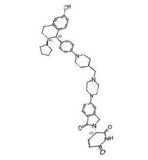 O=C1CC[C@H](N2Cc3cc(N4CCN(CC5CCN(c6ccc([C@@H]7c8ccc(O)cc8CC[C@@H]7C7CCCC7)cc6)CC5)CC4)ccc3C2=O)C(=O)N1